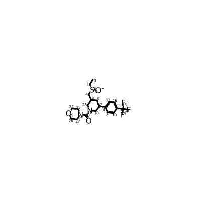 CC[S+]([O-])CC1CC(c2ccc(C(F)(F)F)cc2)CN(C(=O)N2CCOCC2)C1